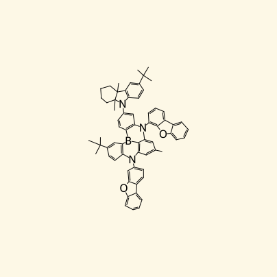 Cc1cc2c3c(c1)N(c1cccc4c1oc1ccccc14)c1cc(N4c5ccc(C(C)(C)C)cc5C5(C)CCCCC45C)ccc1B3c1cc(C(C)(C)C)ccc1N2c1ccc2c(c1)oc1ccccc12